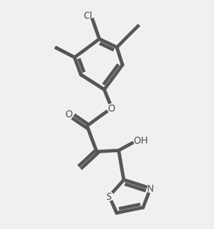 C=C(C(=O)Oc1cc(C)c(Cl)c(C)c1)C(O)c1nccs1